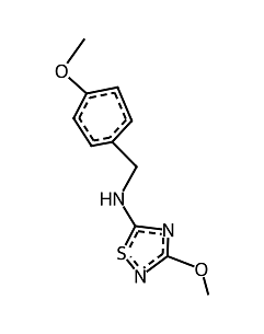 COc1ccc(CNc2nc(OC)ns2)cc1